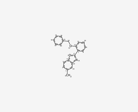 Cc1ccc2oc(-c3ccncc3OCc3ccccc3)nc2c1